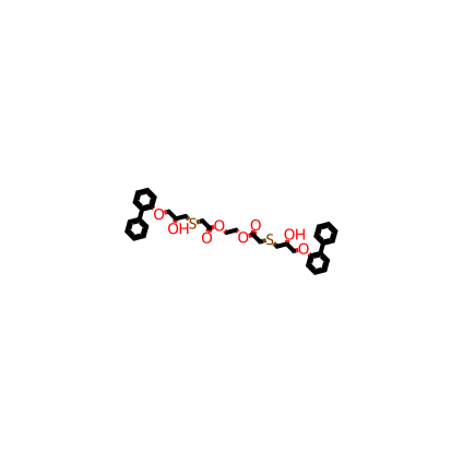 O=C(CSCC(O)COc1ccccc1-c1ccccc1)OCCOC(=O)CSCC(O)COc1ccccc1-c1ccccc1